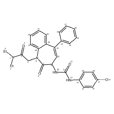 CCN(CC)C(=O)CN1C(=O)C(NC(=O)Nc2ccc(Cl)cc2)C=C(c2ccccc2)c2ccccc21